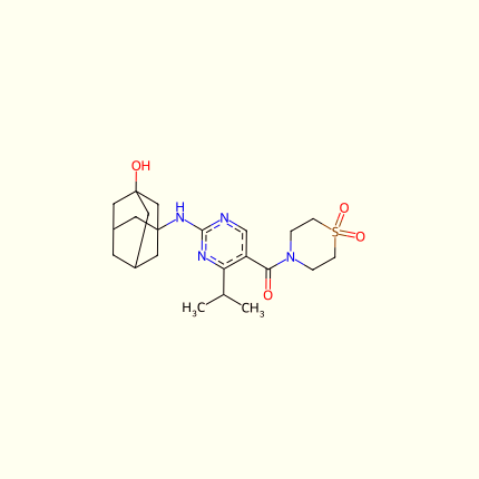 CC(C)c1nc(NC23CC4CC(CC(O)(C4)C2)C3)ncc1C(=O)N1CCS(=O)(=O)CC1